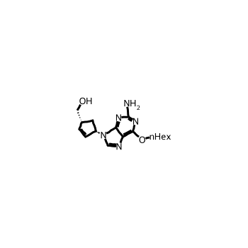 CCCCCCOc1nc(N)nc2c1ncn2[C@@H]1C=C[C@H](CO)C1